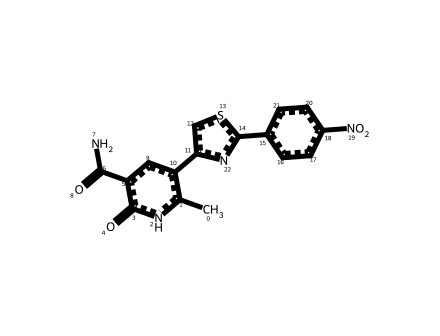 Cc1[nH]c(=O)c(C(N)=O)cc1-c1csc(-c2ccc([N+](=O)[O-])cc2)n1